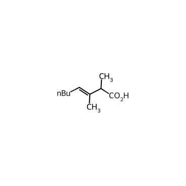 CCCC/C=C(\C)C(C)C(=O)O